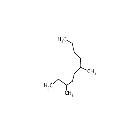 CCCCC(C)[CH]CC(C)CC